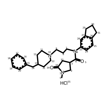 CN1CC(C(=O)N(CCCN2CCC(Cc3ccccc3)CC2)c2ccc3c(c2)CCC3)CC1=O.Cl